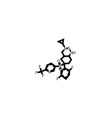 O=S(=O)(c1ccc(C(F)(F)F)nc1)C1(c2cc(F)ccc2F)CCC2NSN(C3CC3)CC2C1